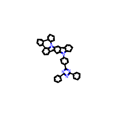 c1ccc(-c2nc(-c3ccccc3)nc(-c3ccc(-n4c5ccccc5c5cc6c(cc54)c4cccc5c4n6-c4ccccc4-c4ccccc4-5)cc3)n2)cc1